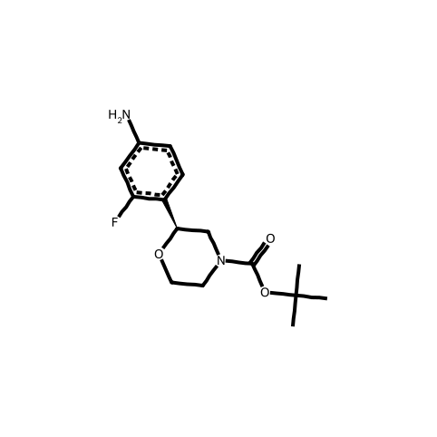 CC(C)(C)OC(=O)N1CCO[C@@H](c2ccc(N)cc2F)C1